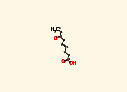 CCC(=O)CC=CCCC(=O)O